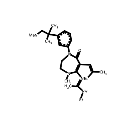 CCN/C(C)=N/C1=C(/C=C(/C)CC)C(=O)N(c2cccc(C(C)(C)CNC)c2)CCN1C